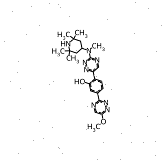 COc1cnc(-c2ccc(-c3cnc(N(C)C4CC(C)(C)NC(C)(C)C4)nn3)c(O)c2)nn1